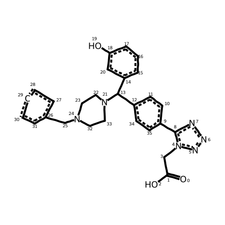 O=C(O)Cn1nnnc1-c1ccc(C(c2cccc(O)c2)N2CCN(Cc3ccccc3)CC2)cc1